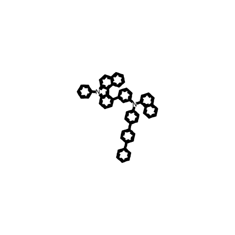 c1ccc(-c2ccc(-c3ccc(N(c4cccc(-c5cccc6c5c5c7ccccc7ccc5n6-c5ccccc5)c4)c4cccc5ccccc45)cc3)cc2)cc1